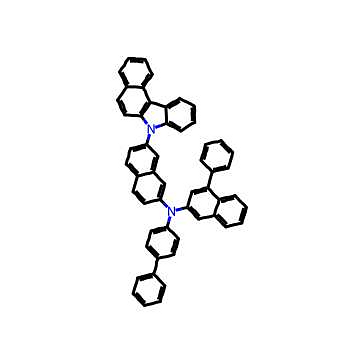 c1ccc(-c2ccc(N(c3ccc4ccc(-n5c6ccccc6c6c7ccccc7ccc65)cc4c3)c3cc(-c4ccccc4)c4ccccc4c3)cc2)cc1